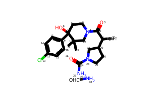 CC(C)C(C(=O)N1CCC(O)(c2ccc(Cl)cc2)C(C)(C)C1)C1CCN(C(N)=O)C1.NC=O